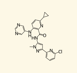 Cn1nc(-c2cccc(Cl)n2)cc1NC(=O)c1nc(C2CC2)ccc1Nc1cncnc1